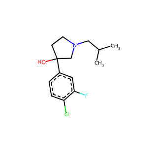 CC(C)CN1CCC(O)(c2ccc(Cl)c(F)c2)C1